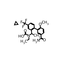 C1CC1.CCN(C(=O)O)C(C)c1cc(C(F)(F)F)ccc1-c1cc(C(N)=O)ccc1OC